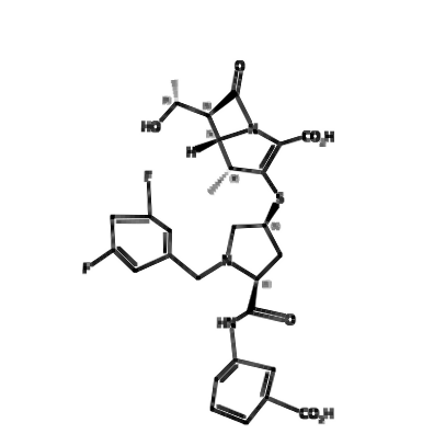 C[C@@H](O)[C@H]1C(=O)N2C(C(=O)O)=C(S[C@H]3C[C@@H](C(=O)Nc4cccc(C(=O)O)c4)N(Cc4cc(F)cc(F)c4)C3)[C@H](C)[C@H]12